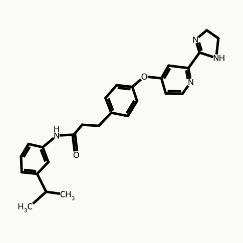 CC(C)c1cccc(NC(=O)CCc2ccc(Oc3ccnc(C4=NCCN4)c3)cc2)c1